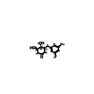 O[C@@H]1[C@@H](Cc2cc(F)cc(F)c2)CNC[C@H]1O